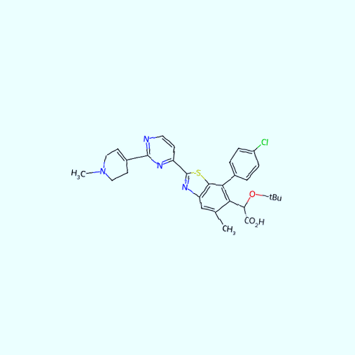 Cc1cc2nc(-c3ccnc(C4=CCN(C)CC4)n3)sc2c(-c2ccc(Cl)cc2)c1C(OC(C)(C)C)C(=O)O